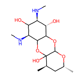 CN[C@@H]1C2OC3(O)C(OC2[C@@H](O)[C@H](NC)C1O)O[C@H](C)C[C@H]3C